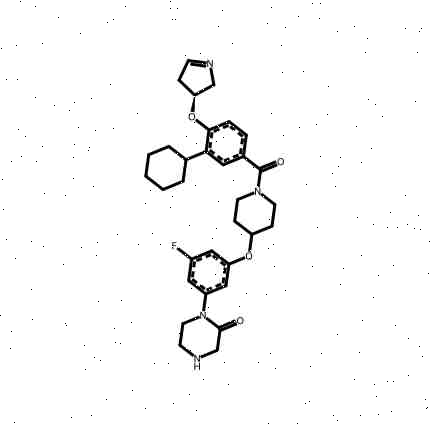 O=C(c1ccc(O[C@H]2CC=NC2)c(C2CCCCC2)c1)N1CCC(Oc2cc(F)cc(N3CCNCC3=O)c2)CC1